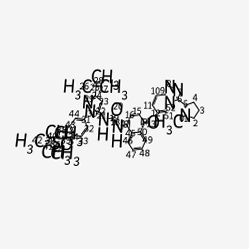 CN1CCCC1c1nnc2ccc(O[C@@H]3CC[C@H](NC(=O)Nc4cc(C(C)(C)C)nn4-c4ccc(O[Si](C)(C)C(C)(C)C)cc4)c4ccccc43)cn12